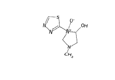 CN1CC(O)[N+]([O-])(c2nncs2)C1